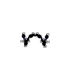 O=C(NCCN1CCN(C(=O)COCC(=O)N2CCN(CCNC(=O)c3c(/C=C/c4ccc(Cl)cc4)[nH]c4cc(Br)ccc34)CC2)CC1)c1c(/C=C/c2ccc(Cl)cc2)[nH]c2cc(Br)ccc12